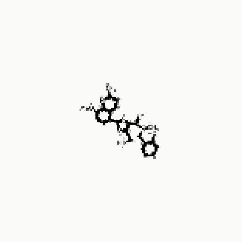 COc1ccc(-c2nc(C(=O)N(C)Cc3ccccc3O)c(CN)o2)c2ccc(C(F)(F)F)nc12